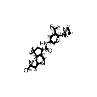 CC1(C)C[C@@H](C(=O)Nc2cnc(-n3nccn3)c(C(F)F)c2)c2cnc3cc(Cl)nn3c21